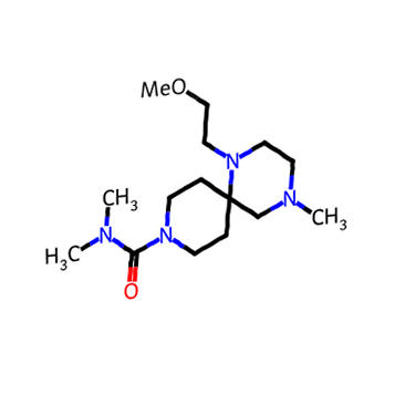 COCCN1CCN(C)CC12CCN(C(=O)N(C)C)CC2